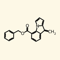 C=c1c2cccc(C(=O)OCc3ccccc3)c2n2cccc12